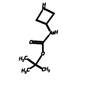 CC(C)(C)OC(=O)[AsH]C1CNC1